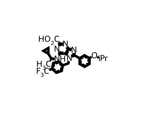 CC(C)Oc1cccc(-c2nc3nc(C(=O)O)nc(N[C@H](C)C4CC4)c3n2Cc2ccc(C(F)(F)F)cc2)c1